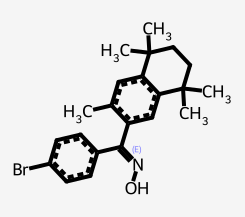 Cc1cc2c(cc1/C(=N/O)c1ccc(Br)cc1)C(C)(C)CCC2(C)C